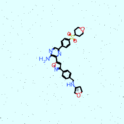 Nc1ncc(-c2ccc(S(=O)(=O)C3CCOCC3)cc2)nc1-c1cc(-c2ccc(CN[C@H]3CCOC3)cc2)no1